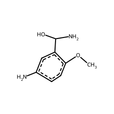 COc1ccc(N)cc1C(N)O